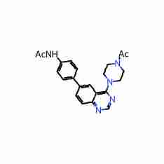 CC(=O)Nc1ccc(-c2ccc3ncnc(N4CCN(C(C)=O)CC4)c3c2)cc1